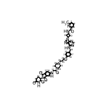 Cc1cccc(C(=O)NC2CC(n3cnc4c(NCc5ccc(OCCCN6CCN(C(=O)CNc7ccc8c(c7)C(=O)N([C@H]7CCC(=O)NC7=O)C8=O)CC6)cc5)ncnc43)C2)n1